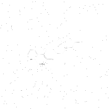 COc1c(C)c(CC(Cl)CN(CCCl)P(N)(=O)O)c(OC)c2ccccc12